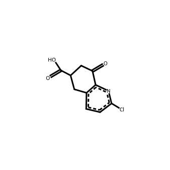 O=C1CC(C(=O)O)Cc2ccc(Cl)nc21